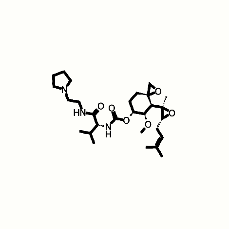 CO[C@@H]1[C@H](OC(=O)N[C@@H](C(=O)NCCN2CCCC2)C(C)C)CC[C@]2(CO2)[C@H]1[C@@]1(C)O[C@@H]1CC=C(C)C